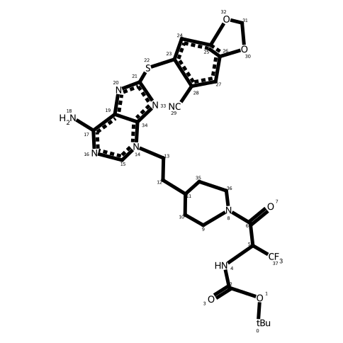 CC(C)(C)OC(=O)NC(C(=O)N1CCC(CCn2cnc(N)c3nc(Sc4cc5c(cc4C#N)OCO5)nc2-3)CC1)C(F)(F)F